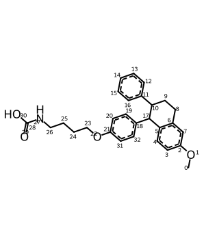 COc1ccc2c(c1)CCC(c1ccccc1)C2c1ccc(OCCCCNC(=O)O)cc1